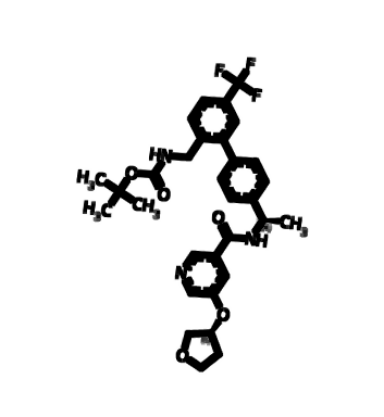 C[C@@H](NC(=O)c1cncc(O[C@H]2CCOC2)c1)c1ccc(-c2cc(C(F)(F)F)ccc2CNC(=O)OC(C)(C)C)cc1